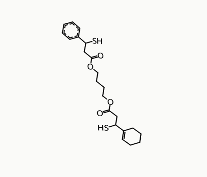 O=C(CC(S)C1=CCCCC1)OCCCCOC(=O)CC(S)c1ccccc1